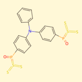 O=P(c1ccc(N(c2ccccc2)c2ccc(P(=O)=S(=S)=S)cc2)cc1)=S(=S)=S